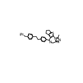 Cc1nnc2n1-c1sc3c(c1C(c1ccc(CCc4ccc(CC(C)C)cc4)cc1)=NC2)CCC3